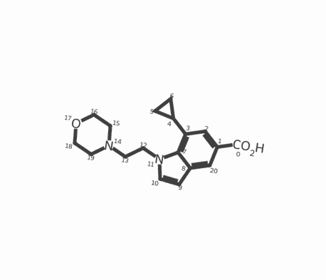 O=C(O)c1cc(C2CC2)c2c(ccn2CCN2CCOCC2)c1